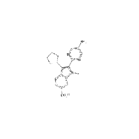 Bc1cnc(-c2c(C3CCCC3)c3ccc(C(=O)O)cc3n2C)nc1